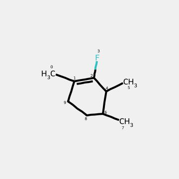 CC1=C(F)C(C)C(C)CC1